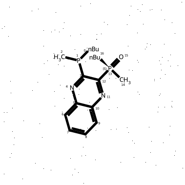 CCCCP(C)c1nc2ccccc2nc1[P@@](C)(=O)CCCC